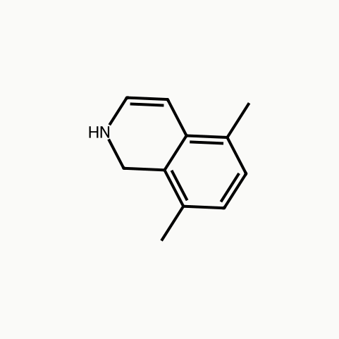 Cc1ccc(C)c2c1C=CNC2